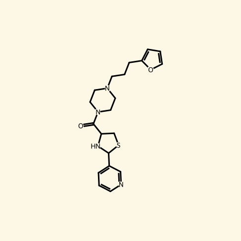 O=C(C1CSC(c2cccnc2)N1)N1CCN(CCCc2ccco2)CC1